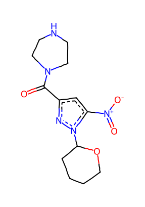 O=C(c1cc([N+](=O)[O-])n(C2CCCCO2)n1)N1CCNCC1